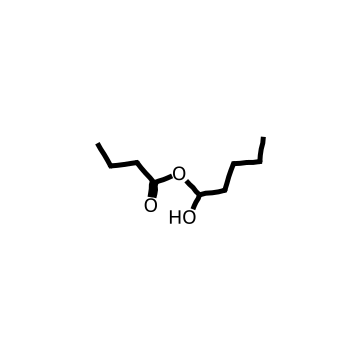 CCCCC(O)OC(=O)CCC